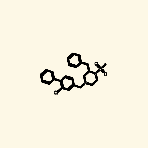 CS(=O)(=O)N1CCN(Cc2ccc(-c3ccccc3)c(Cl)c2)CC1Cc1ccccc1